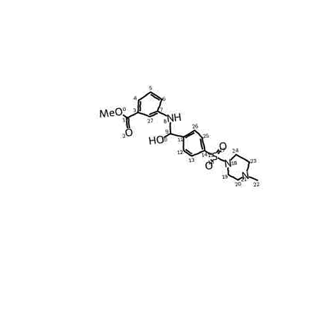 COC(=O)c1cccc(NC(O)c2ccc(S(=O)(=O)N3CCN(C)CC3)cc2)c1